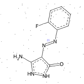 Nc1[nH][nH]c(=O)c1/N=N/c1ccccc1F